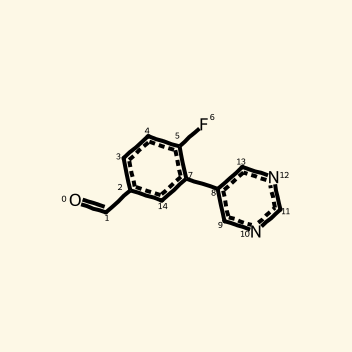 O=Cc1ccc(F)c(-c2cncnc2)c1